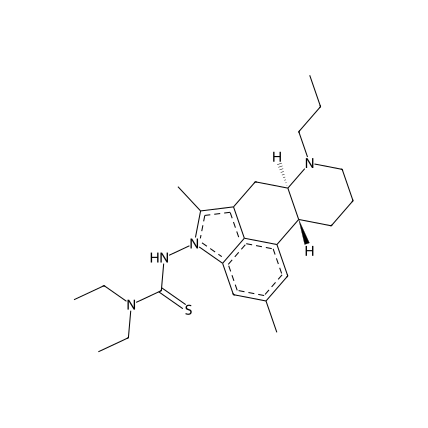 CCCN1CCC[C@@H]2c3cc(C)cc4c3c(c(C)n4NC(=S)N(CC)CC)C[C@H]21